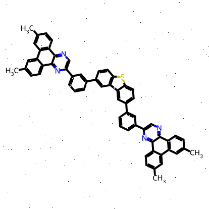 Cc1ccc2c(c1)c1cc(C)ccc1c1nc(-c3cccc(-c4ccc5sc6ccc(-c7cccc(-c8cnc9c%10ccc(C)cc%10c%10cc(C)ccc%10c9n8)c7)cc6c5c4)c3)cnc21